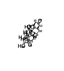 C[C@]12CCC(=O)[C@@]3(C)[C@@H](CCC4=CC(=O)C=C[C@@]43C)[C@]1(C)CC[C@]2(O)C(=O)CO